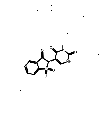 O=C1c2ccccc2S(=O)(=O)C1c1c[nH]c(=O)[nH]c1=O